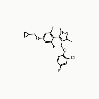 Cc1nn(C)c(-c2c(F)cc(OCC3CC3)cc2F)c1COc1ccc(F)cc1Cl